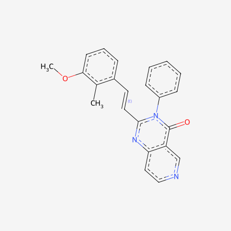 COc1cccc(/C=C/c2nc3ccncc3c(=O)n2-c2ccccc2)c1C